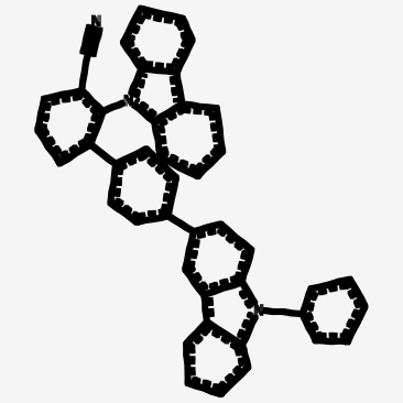 N#Cc1cccc(-c2ccc(-c3ccc4c(c3)c3ccccc3n4-c3ccccc3)cc2)c1-n1c2ccccc2c2ccccc21